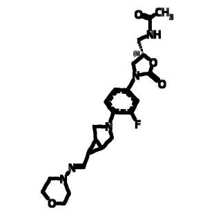 CC(=O)NC[C@H]1CN(c2ccc(N3CC4C(C=NN5CCOCC5)C4C3)c(F)c2)C(=O)O1